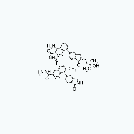 CC(C)(O)CCN1Cc2cc(-c3cccc4c(N)c(C(N)=O)nnc34)ccc2C1=O.Cc1cc(F)c2cc(C(=O)NN)nnc2c1-c1ccc2c(c1)CNC2=O